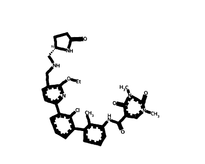 CCOc1nc(-c2cccc(-c3cccc(NC(=O)c4cn(C)c(=O)n(C)c4=O)c3C)c2Cl)ccc1CNC[C@@H]1CCC(=O)N1